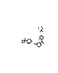 CCOC(=O)CC1(c2ccc(OCc3ccc4scc(-c5ccc(N6CC7(CCS7(=O)=O)C6)cc5C)c4c3)cc2)CC(=O)C1